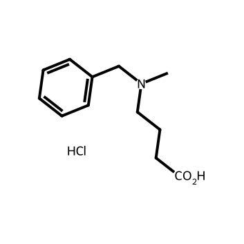 CN(CCCC(=O)O)Cc1ccccc1.Cl